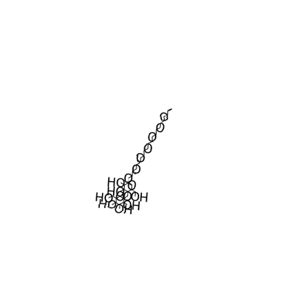 C=CCOCCOCCOCCOCCOCCOCCO[C@@H]1O[C@@H](CO)[C@@H](O[C@@H]2OC(CO)[C@H](O)[C@H](O)C2O)C(O)C1O